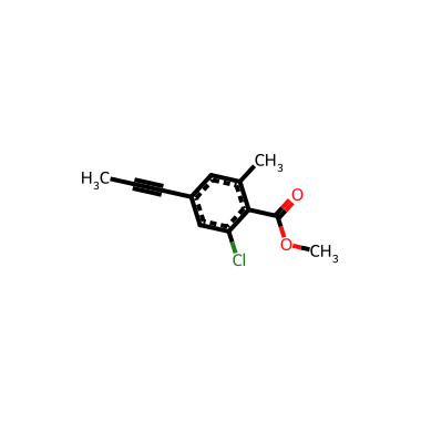 CC#Cc1cc(C)c(C(=O)OC)c(Cl)c1